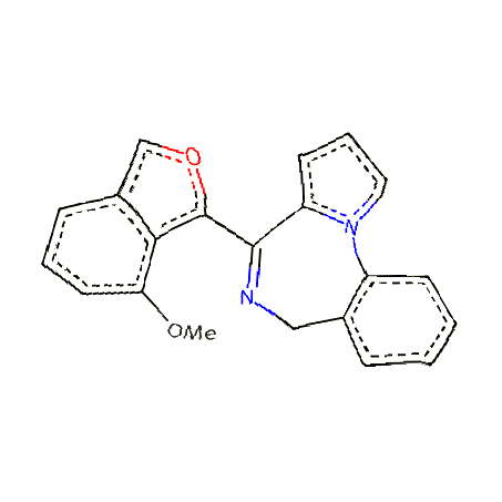 COc1cccc2coc(C3=NCc4ccccc4-n4cccc43)c12